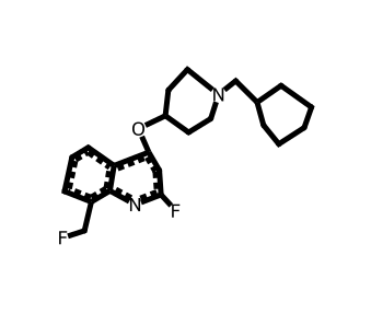 FCc1cccc2c(OC3CCN(CC4CCCCC4)CC3)cc(F)nc12